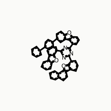 c1ccc(-c2ccc(-c3ccc4oc5cccc(-c6nc(-c7cccc8c7oc7ccccc78)nc(-c7cccc8c7oc7c9ccccc9ccc87)n6)c5c4c3)cc2)cc1